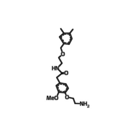 COc1cc(CC(=O)NCCOCc2ccc(C)c(C)c2)ccc1OCCN